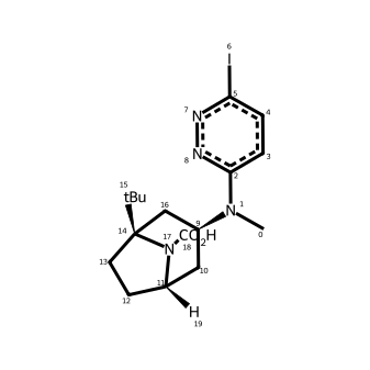 CN(c1ccc(I)nn1)[C@H]1C[C@@H]2CC[C@](C(C)(C)C)(C1)N2C(=O)O